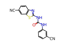 N#Cc1cccc(NC(=O)Nc2nc3ccc(C#N)cc3s2)c1